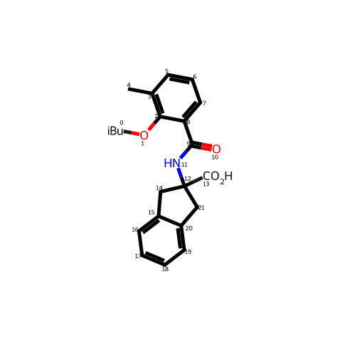 CCC(C)Oc1c(C)cccc1C(=O)NC1(C(=O)O)Cc2ccccc2C1